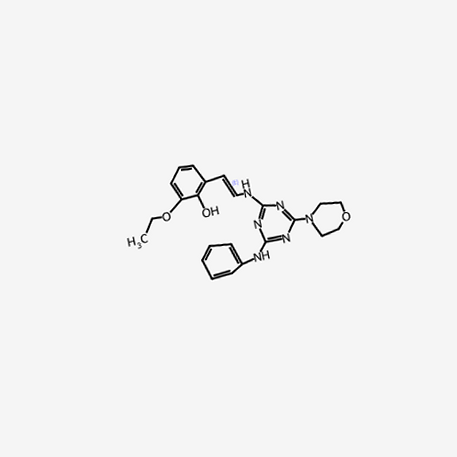 CCOc1cccc(/C=C/Nc2nc(Nc3ccccc3)nc(N3CCOCC3)n2)c1O